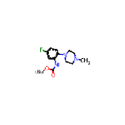 CN1CCN(c2ccc(F)cc2NC(=O)OC(C)(C)C)CC1